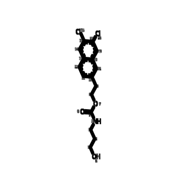 O=C(NCCCO)OCCc1ccc2cc(Cl)c(Cl)cc2c1